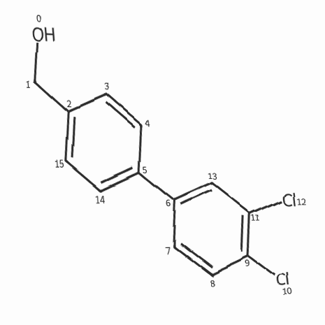 OCc1ccc(-c2ccc(Cl)c(Cl)c2)cc1